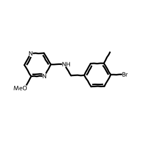 COc1cncc(NCc2ccc(Br)c(C)c2)n1